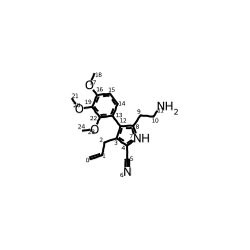 C=CCc1c(C#N)[nH]c(CCN)c1-c1ccc(OC)c(OC)c1OC